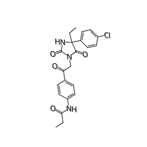 CCC(=O)Nc1ccc(C(=O)CN2C(=O)NC(CC)(c3ccc(Cl)cc3)C2=O)cc1